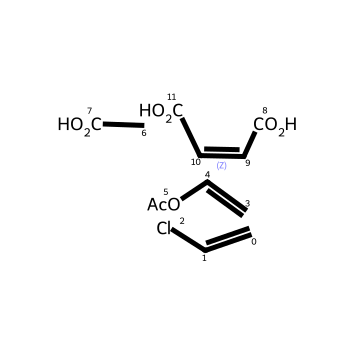 C=CCl.C=COC(C)=O.CC(=O)O.O=C(O)/C=C\C(=O)O